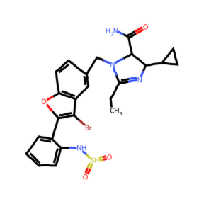 CCC1=NC(C2CC2)C(C(N)=O)N1Cc1ccc2oc(-c3ccccc3N[SH](=O)=O)c(Br)c2c1